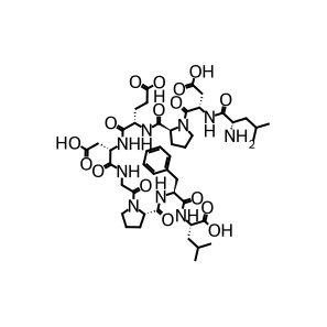 CC(C)C[C@H](NC(=O)[C@H](Cc1ccccc1)NC(=O)[C@@H]1CCCN1C(=O)CNC(=O)[C@H](CC(=O)O)NC(=O)[C@H](CCC(=O)O)NC(=O)[C@@H]1CCCN1C(=O)[C@H](CC(=O)O)NC(=O)[C@@H](N)CC(C)C)C(=O)O